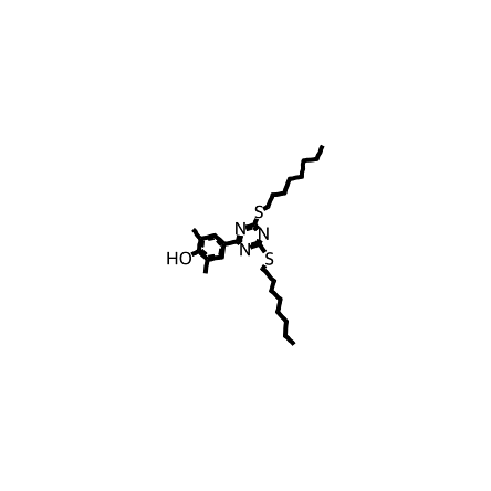 CCCCCCCCSc1nc(SCCCCCCCC)nc(-c2cc(C)c(O)c(C)c2)n1